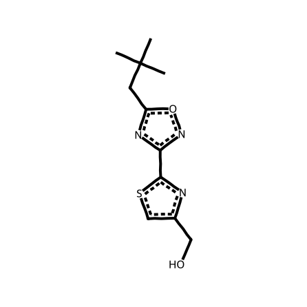 CC(C)(C)Cc1nc(-c2nc(CO)cs2)no1